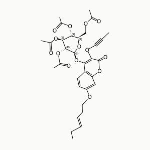 CC#COc1c(O[C@@H]2O[C@H](COC(C)=O)[C@@H](OC(C)=O)[C@H](OC(C)=O)[C@H]2OC(C)=O)c2ccc(OCCC=CCC)cc2oc1=O